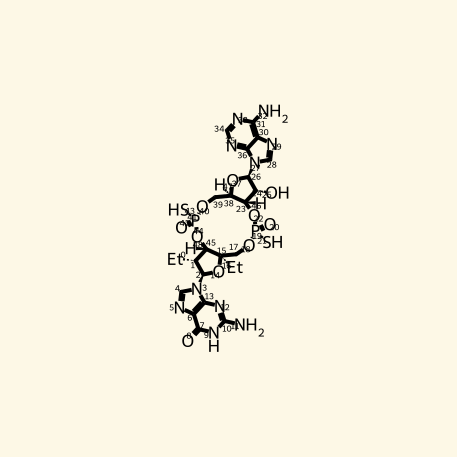 CC[C@H]1[C@H](n2cnc3c(=O)[nH]c(N)nc32)O[C@]2(CC)CO[P@@](=O)(S)O[C@H]3[C@@H](O)[C@H](n4cnc5c(N)ncnc54)O[C@@H]3CO[P@@](=O)(S)O[C@@H]12